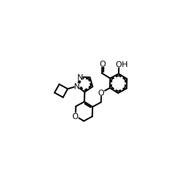 O=Cc1c(O)cccc1OCC1=C(c2ccnn2C2CCC2)COCC1